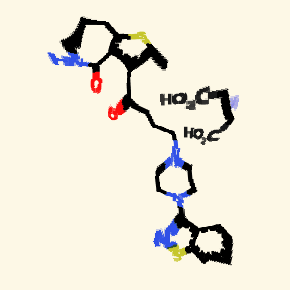 Cc1sc2c(c1C(=O)CCCN1CCN(c3nsc4ccccc34)CC1)C(=O)NCCC2.O=C(O)/C=C\C(=O)O